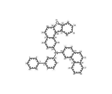 c1ccc(-c2cccc(N(c3ccc4ccc5ccccc5c4c3)c3ccc4ccc5oc6ccccc6c5c4c3)c2)cc1